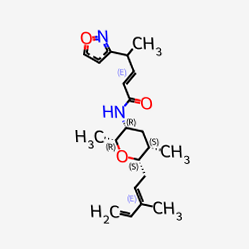 C=C/C(C)=C/C[C@@H]1O[C@H](C)[C@H](NC(=O)/C=C/C(C)c2ccon2)C[C@@H]1C